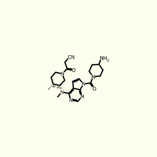 C[C@@H]1CCN(C(=O)CC#N)C[C@@H]1N(C)c1ncnc2c1ccn2C(=O)N1CCC(N)CC1